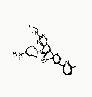 Cc1cccc(-c2ccc(-c3cc4cnc(NCC(C)C)nc4n([C@H]4CC[C@H](N)CC4)c3=O)c(Cl)c2)n1